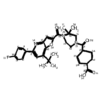 CC(C)(C)c1cc(-c2ccc(F)cc2)nc2cc(C(=O)N3CCN(C(=O)C4CCC(C(=O)O)CC4)CC3(C)C)oc12